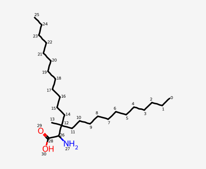 CCCCCCCCCCCCC(C)(CCCCCCCCCCCC)C(N)C(=O)O